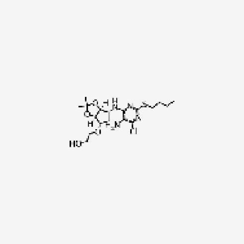 CCCCSc1nc(Cl)c(N)c(N[C@@H]2C[C@H](OCCO)[C@H]3OC(C)(C)O[C@H]32)n1